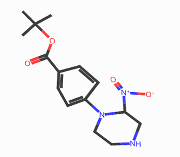 CC(C)(C)OC(=O)c1ccc(N2CCNCC2[N+](=O)[O-])cc1